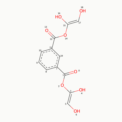 O=C(OC(O)=CO)c1cccc(C(=O)OC(O)=CO)c1